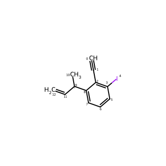 C#Cc1c(I)cccc1[C](C)C=C